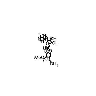 COC(=O)C1CC(S(=O)(=O)NC[C@H]2O[C@@H](n3cnc4c(N)ncnc43)C(O)C2O)CCN1CCN